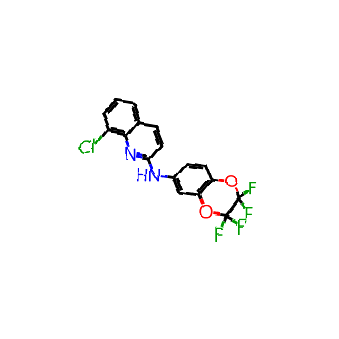 FC1(F)Oc2ccc(Nc3ccc4cccc(Cl)c4n3)cc2OC1(F)F